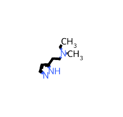 CCN(C)CCc1ccn[nH]1